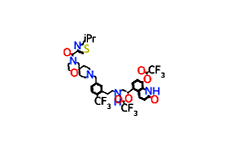 CC(C)c1nc(C(=O)N2CCOC3(CCN(Cc4ccc(C(F)(F)F)c(CCNC[C@H](OC(=O)C(F)(F)F)c5ccc(OC(=O)C(F)(F)F)c6[nH]c(=O)ccc56)c4)CC3)C2)cs1